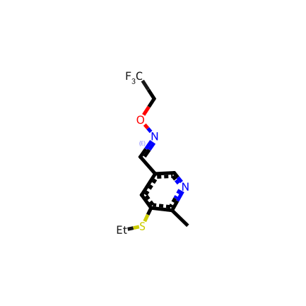 CCSc1cc(/C=N/OCC(F)(F)F)cnc1C